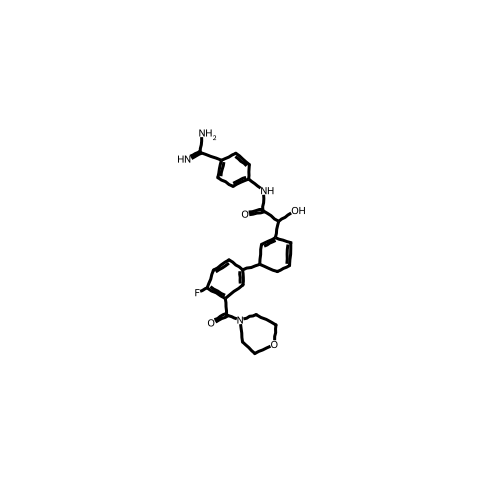 N=C(N)c1ccc(NC(=O)C(O)C2=CC(c3ccc(F)c(C(=O)N4CCOCC4)c3)CC=C2)cc1